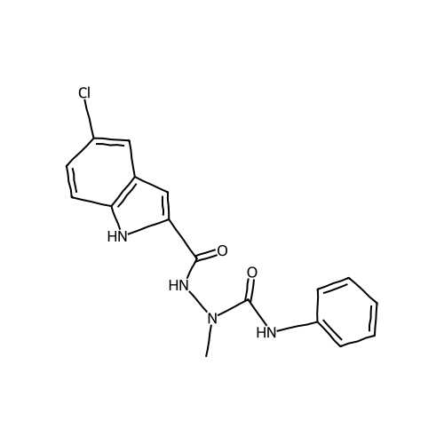 CN(NC(=O)c1cc2cc(Cl)ccc2[nH]1)C(=O)Nc1ccccc1